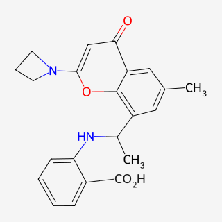 Cc1cc(C(C)Nc2ccccc2C(=O)O)c2oc(N3CCC3)cc(=O)c2c1